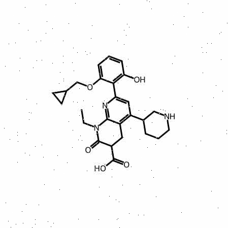 CCN1C(=O)C(C(=O)O)Cc2c(C3CCCNC3)cc(-c3c(O)cccc3OCC3CC3)nc21